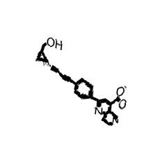 COC(=O)c1cc(-c2ccc(C#CC#C[C@@H]3CC3CO)cc2)nc2ccncc12